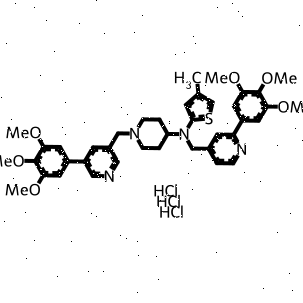 COc1cc(-c2cncc(CN3CCC(N(Cc4ccnc(-c5cc(OC)c(OC)c(OC)c5)c4)c4cc(C)cs4)CC3)c2)cc(OC)c1OC.Cl.Cl.Cl